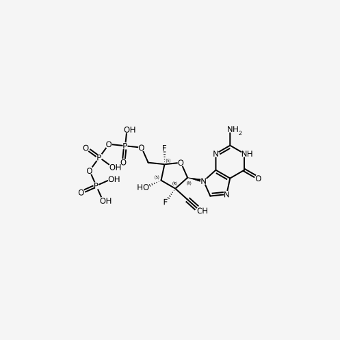 C#C[C@]1(F)[C@H](n2cnc3c(=O)[nH]c(N)nc32)O[C@](F)(COP(=O)(O)OP(=O)(O)OP(=O)(O)O)[C@H]1O